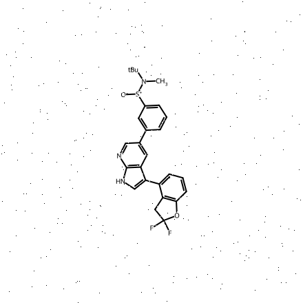 CN([S+]([O-])c1cccc(-c2cnc3[nH]cc(-c4cccc5c4CC(F)(F)O5)c3c2)c1)C(C)(C)C